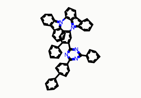 c1ccc(-c2ccc(-c3nc(-c4ccccc4)nc(-c4cc(-n5c6ccccc6c6cccc(-n7c8ccccc8c8ccccc87)c65)ccc4-c4ccccc4)n3)cc2)cc1